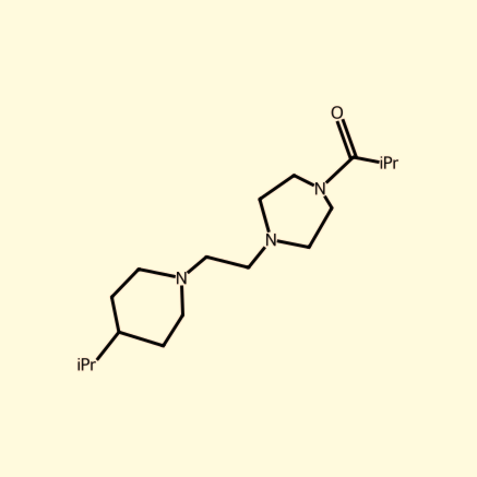 CC(C)C(=O)N1CCN(CCN2CCC(C(C)C)CC2)CC1